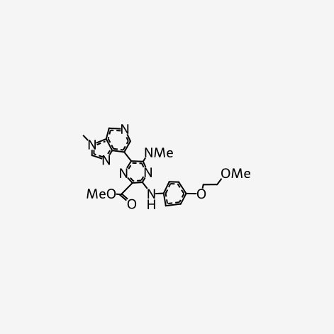 CNc1nc(Nc2ccc(OCCOC)cc2)c(C(=O)OC)nc1-c1cncc2c1ncn2C